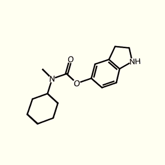 CN(C(=O)Oc1ccc2c(c1)CCN2)C1CCCCC1